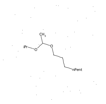 CCCCCCCCOC(C)OC(C)C